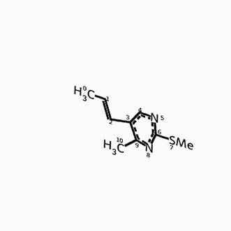 C/C=C/c1cnc(SC)nc1C